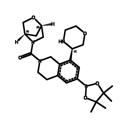 CC1(C)OB(c2cc3c(c([C@@H]4COCCN4)c2)CN(C(=O)N2C[C@H]4C[C@@H]2CO4)CC3)OC1(C)C